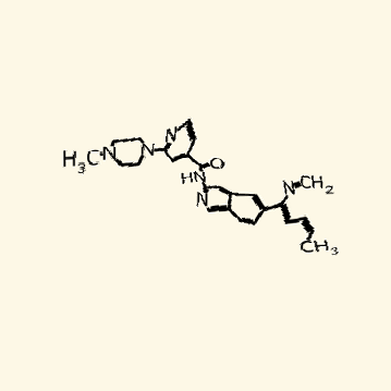 C=N/C(=C\C=C/C)c1ccc2cnc(NC(=O)c3ccnc(N4CCN(C)CC4)c3)cc2c1